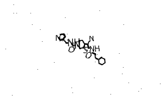 N#Cc1c(NC(=O)CCC2CCCCC2)sc2c1CCN(C(=O)NCc1cccnc1)C2